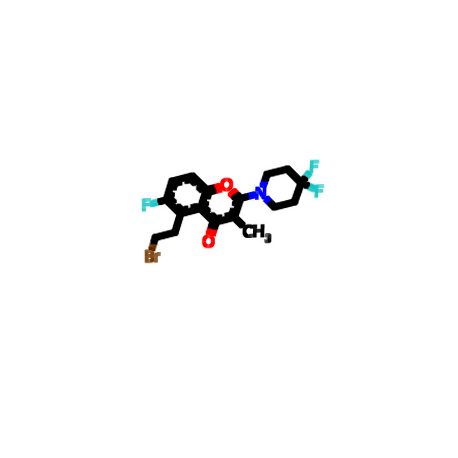 Cc1c(N2CCC(F)(F)CC2)oc2ccc(F)c(CCBr)c2c1=O